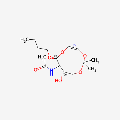 CCCCO[C@H]1O/C=C\OC(C)(C)OC[C@H](O)C1NC(C)=O